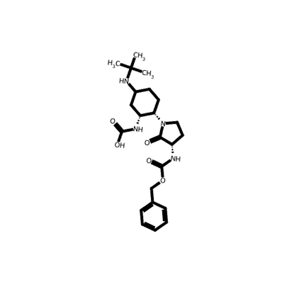 CC(C)(C)NC1CC[C@H](N2CC[C@H](NC(=O)OCc3ccccc3)C2=O)[C@H](NC(=O)O)C1